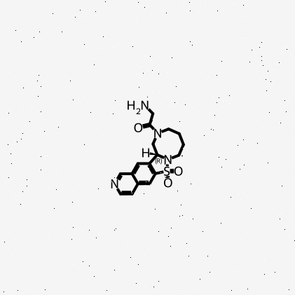 NCC(=O)N1CCCCN2[C@@H](C1)c1cc3cnccc3cc1S2(=O)=O